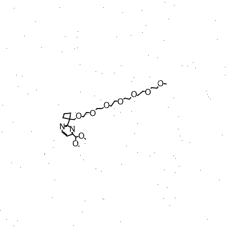 COCCOCCOCCOCCOCCOCCOCC1(c2nccc(C(OC)OC)n2)CCC1